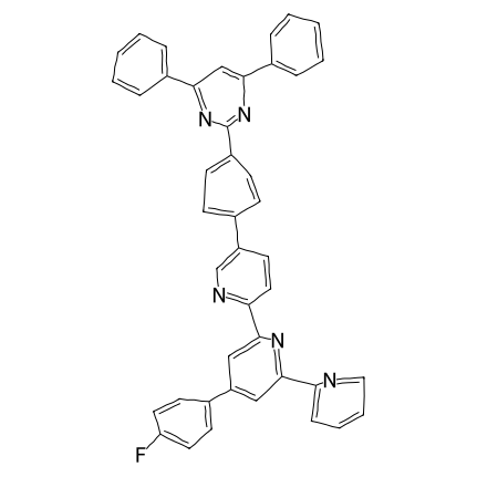 Fc1ccc(-c2cc(-c3ccccn3)nc(-c3ccc(-c4ccc(-c5nc(-c6ccccc6)cc(-c6ccccc6)n5)cc4)cn3)c2)cc1